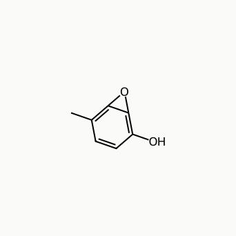 Cc1ccc(O)c2c1O2